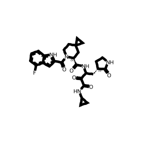 O=C(NC1CC1)C(=O)C(C[C@@H]1CCNC1=O)NC(=O)[C@@H]1CC2(CCN1C(=O)c1cc3c(F)cccc3[nH]1)CC2